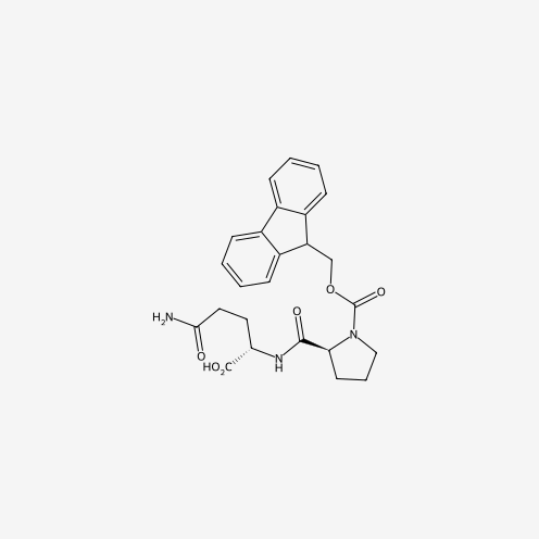 NC(=O)CC[C@H](NC(=O)[C@@H]1CCCN1C(=O)OCC1c2ccccc2-c2ccccc21)C(=O)O